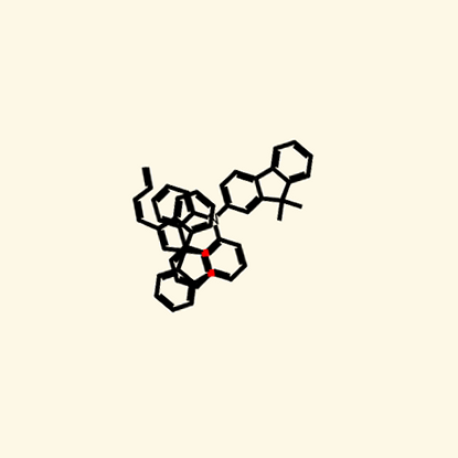 C=C/C=C\C1=CC2(c3ccccc31)c1ccccc1-c1cccc(N(c3ccc4c(c3)C(C)(C)c3ccccc3-4)c3ccccc3-c3ccccc3)c12